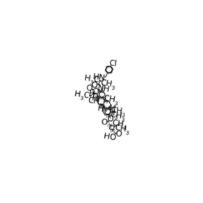 CC(C)C1=C2[C@H]3CC[C@@H]4[C@@]5(C)CC[C@H](OC(=O)[C@H]6C[C@@H](C(=O)O)C6(C)C)C(C)(C)[C@@H]5CC[C@@]4(C)[C@]3(C)CC[C@@]2(NC(=O)C(C)(C)NCc2ccc(Cl)cc2)CC1=O